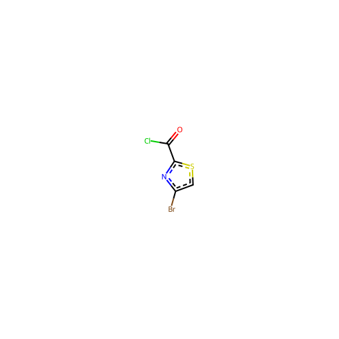 O=C(Cl)c1nc(Br)cs1